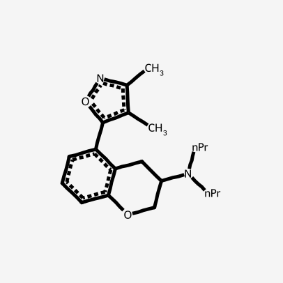 CCCN(CCC)C1COc2cccc(-c3onc(C)c3C)c2C1